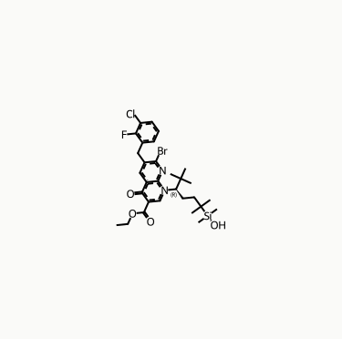 CCOC(=O)c1cn([C@H](CCC(C)(C)[Si](C)(C)O)C(C)(C)C)c2nc(Br)c(Cc3cccc(Cl)c3F)cc2c1=O